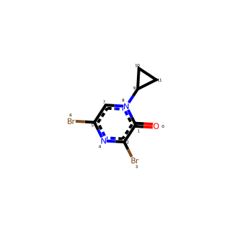 O=c1c(Br)nc(Br)cn1C1CC1